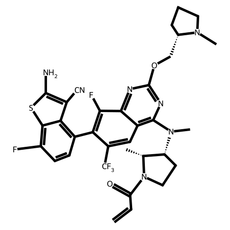 C=CC(=O)N1CC[C@@H](N(C)c2nc(OC[C@@H]3CCCN3C)nc3c(F)c(-c4ccc(F)c5sc(N)c(C#N)c45)c(C(F)(F)F)cc23)[C@H]1C